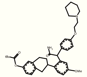 COc1ccc(C2CCc3cc(OC(=O)C(C)(C)C)ccc3C2)c(C(C(N)=O)c2ccc(OCCN3CCCCC3)cc2)c1